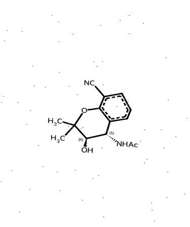 CC(=O)N[C@H]1c2cccc(C#N)c2OC(C)(C)[C@@H]1O